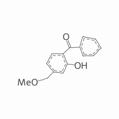 COCc1ccc(C(=O)c2ccccc2)c(O)c1